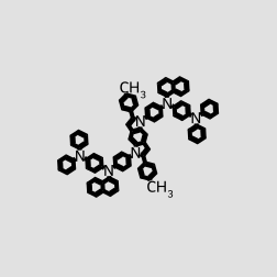 Cc1ccc(-c2cc3cc4c(cc(-c5ccc(C)cc5)n4-c4ccc(N(c5ccc(N(c6ccccc6)c6ccccc6)cc5)c5cccc6ccccc56)cc4)cc3n2-c2ccc(N(c3ccc(N(c4ccccc4)c4ccccc4)cc3)c3cccc4ccccc34)cc2)cc1